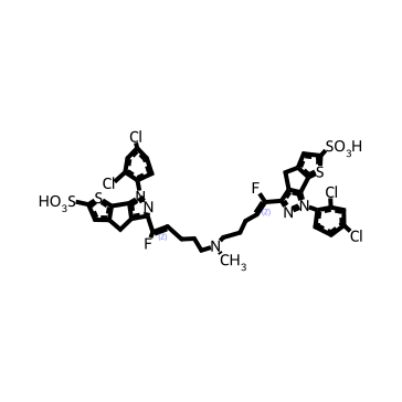 CN(CCC/C=C(\F)c1nn(-c2ccc(Cl)cc2Cl)c2c1Cc1cc(S(=O)(=O)O)sc1-2)CCC/C=C(\F)c1nn(-c2ccc(Cl)cc2Cl)c2c1Cc1cc(S(=O)(=O)O)sc1-2